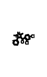 Cc1nn(C)c(-c2[c]cccc2)c1C(=O)c1ccc(Cl)cc1Cl